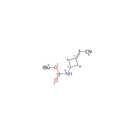 CC(C)(C)OC(=O)NC1CC(=CC#N)C1